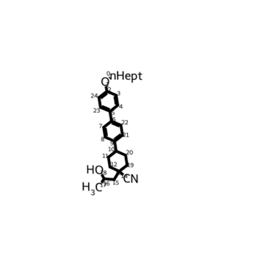 CCCCCCCOc1ccc(-c2ccc(C3CCC(C#N)(CC(C)O)CC3)cc2)cc1